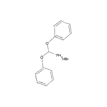 Br.PC(Oc1ccccc1)Oc1ccccc1